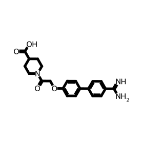 N=C(N)c1ccc(-c2ccc(OCC(=O)N3CCC(C(=O)O)CC3)cc2)cc1